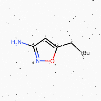 CC(C)(C)Cc1cc(N)no1